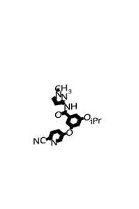 CC(C)Oc1cc(Oc2ccc(C#N)nc2)cc(C(=O)Nc2ccn(C)n2)c1